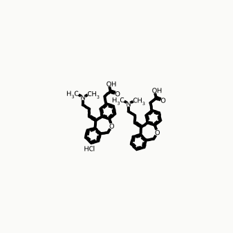 CN(C)CC/C=C1/c2ccccc2COc2ccc(CC(=O)O)cc21.CN(C)CC/C=C1/c2ccccc2COc2ccc(CC(=O)O)cc21.Cl